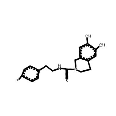 Oc1cc2c(cc1O)CN(C(=S)NCCc1ccc(F)cc1)CC2